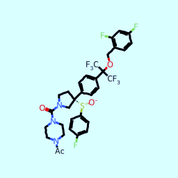 CC(=O)N1CCN(C(=O)N2CC[C@](c3ccc(C(OCc4ccc(F)cc4F)(C(F)(F)F)C(F)(F)F)cc3)([S+]([O-])c3ccc(F)cc3)C2)CC1